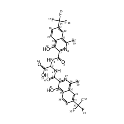 O=C(NC(NC(=O)c1nc(Br)c2cc(C(F)(F)F)ccc2c1O)C(=O)O)c1nc(Br)c2cc(C(F)(F)F)ccc2c1O